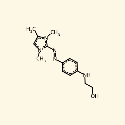 Cc1c[n+](C)c(N=Nc2ccc(NCCO)cc2)n1C